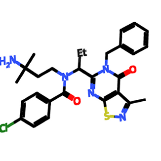 CCC(c1nc2snc(C)c2c(=O)n1Cc1ccccc1)N(CCC(C)(C)N)C(=O)c1ccc(Cl)cc1